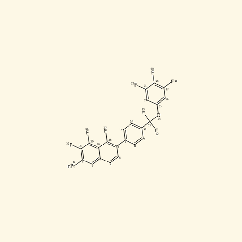 CCCc1cc2ccc(-c3ccc(C(F)(F)Oc4cc(F)c(F)c(F)c4)cc3)c(F)c2c(F)c1F